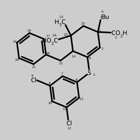 CCC(C)C1(C(=O)O)C=C(Sc2cc(Cl)cc(Cl)c2)C(Cc2ccccc2)C(C)(C(=O)O)C1